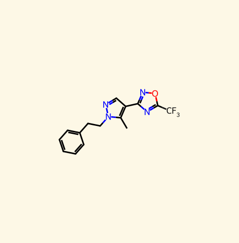 Cc1c(-c2noc(C(F)(F)F)n2)cnn1CCc1ccccc1